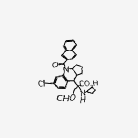 O=CCC(NC1CCC1)(C(=O)O)C1c2ccc(Cl)cc2N(C(=O)c2ccc3ccccc3c2)C2CCCC21